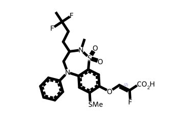 CSc1cc2c(cc1O/C=C(\F)C(=O)O)S(=O)(=O)N(C)C(CCC(C)(F)F)CN2c1ccccc1